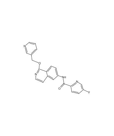 O=C(Nc1ccc2c(OCc3cccnc3)nccc2c1)c1ccc(F)cn1